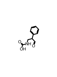 O=CC(CNC(=O)O)c1ccccc1